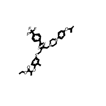 CCOC(=O)C(C)Oc1ccc(SCc2sc(-c3ccc(C(F)(F)F)cc3)nc2CN2CCN(c3ccc(OC(C)C)cc3)CC2)cc1C